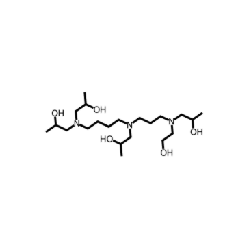 CC(O)CN(CCO)CCCN(CCCCN(CC(C)O)CC(C)O)CC(C)O